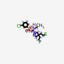 CCN/C(=N\S(=O)(=O)c1cccc(Cl)c1)N1CC(CCF)(CCF)C=N1